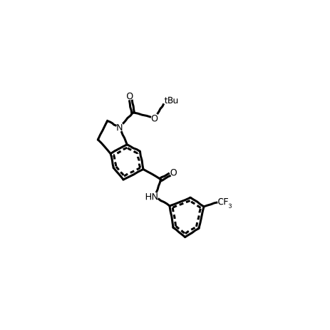 CC(C)(C)OC(=O)N1CCc2ccc(C(=O)Nc3cccc(C(F)(F)F)c3)cc21